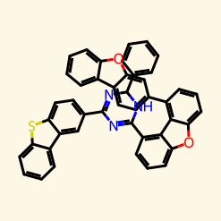 c1ccc(C2N=C(c3ccc4sc5ccccc5c4c3)N=C(c3cccc4oc5cccc(-c6ccc7c(c6)oc6ccccc67)c5c34)N2)cc1